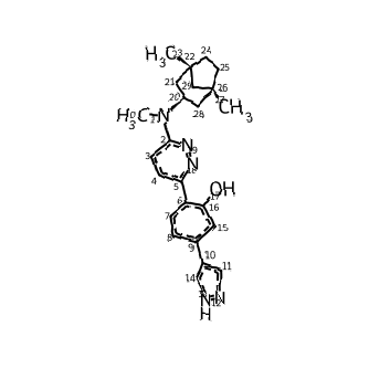 CN(c1ccc(-c2ccc(-c3cn[nH]c3)cc2O)nn1)[C@H]1C[C@]2(C)CC[C@](C)(C1)C2